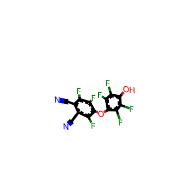 N#Cc1c(F)c(F)c(Oc2c(F)c(F)c(O)c(F)c2F)c(F)c1C#N